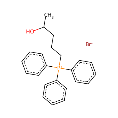 CC(O)CCC[P+](c1ccccc1)(c1ccccc1)c1ccccc1.[Br-]